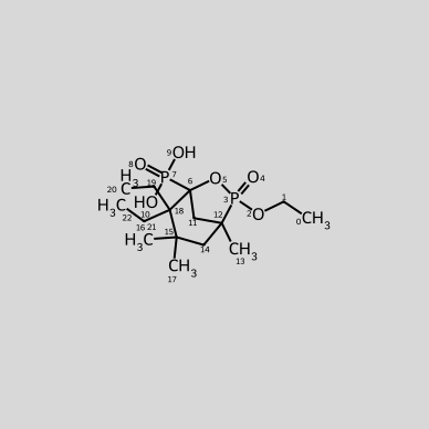 CCOP1(=O)OC2(P(=O)(O)O)CC1(C)CC(C)(C)C2(CC)CC